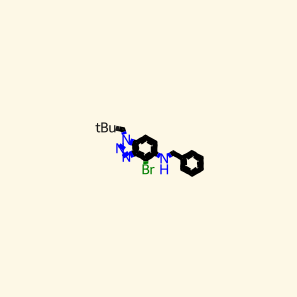 CC(C)(C)Cn1nnc2c(Br)c(NCc3ccccc3)ccc21